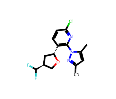 Cc1cc(C#N)nn1-c1nc(Cl)ccc1[C@H]1C[C@H](C(F)F)CO1